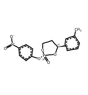 Cc1cccc([C@@H]2CCO[P@@](=O)(Oc3ccc([N+](=O)[O-])cc3)O2)c1